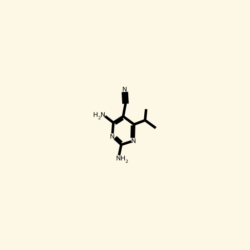 CC(C)c1nc(N)nc(N)c1C#N